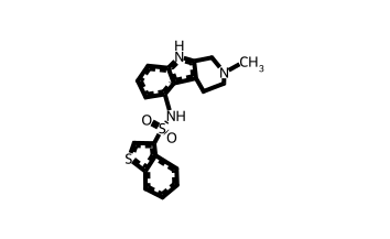 CN1CCc2c([nH]c3cccc(NS(=O)(=O)c4csc5ccccc45)c23)C1